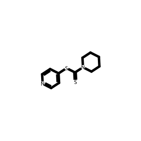 S=C(Sc1ccncc1)N1CCCCC1